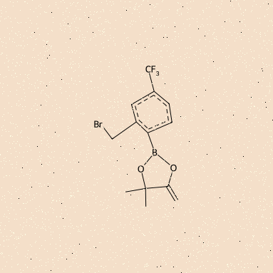 C=C1OB(c2ccc(C(F)(F)F)cc2CBr)OC1(C)C